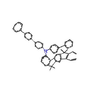 C=CC1=C(C=C)C(C)(C)c2cc3c(cc21)C(C)(C)c1cccc(N(c2ccc(-c4ccccc4)cc2)c2ccc(-c4ccc(-c5ccccc5)cc4)cc2)c1-3